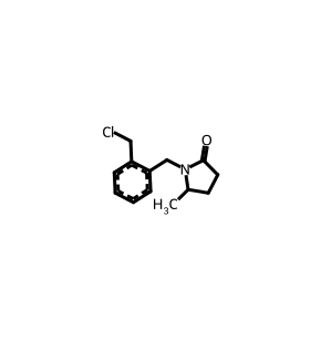 CC1CCC(=O)N1Cc1ccccc1CCl